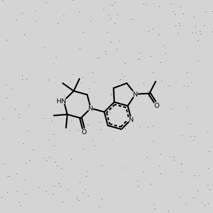 CC(=O)N1CCc2c(N3CC(C)(C)NC(C)(C)C3=O)ccnc21